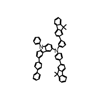 CC1(C)c2ccccc2-c2ccc(-c3ccc(N(c4cccc(-c5ccc6c(c5)C(C)(C)c5ccccc5-6)c4)c4ccc5c(c4)c4cc(-c6ccc(-c7ccccc7)cc6)ccc4n5-c4ccccc4)cc3)cc21